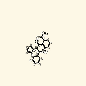 O=C(O)c1cccc2c1C(=O)C(c1ccoc1)C(c1ccccc1)N2